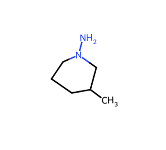 CC1CCCN(N)C1